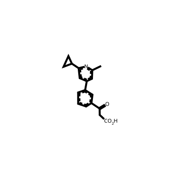 Cc1cc(-c2cccc(C(=O)CC(=O)O)c2)cc(C2CC2)n1